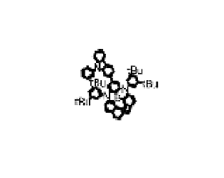 CC(C)(C)c1cc(N2c3cc(-c4ccc5c6ccccc6n(-c6ccccc6)c5c4)cc4c3B(c3c2ccc2ccccc32)c2c(ccc3ccccc23)N4c2cc(C(C)(C)C)cc(C(C)(C)C)c2)cc(C(C)(C)C)c1